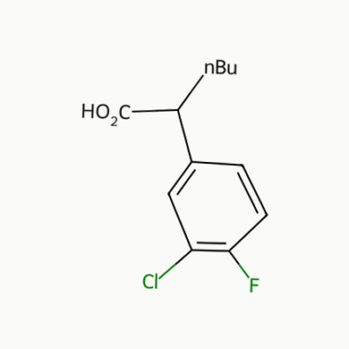 CCCCC(C(=O)O)c1ccc(F)c(Cl)c1